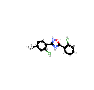 Cc1ccc(-c2noc(-c3ccccc3Cl)n2)c(Cl)c1